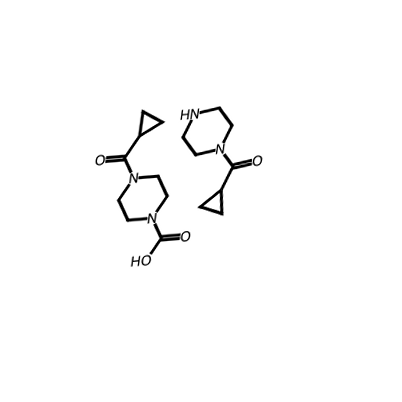 O=C(C1CC1)N1CCNCC1.O=C(O)N1CCN(C(=O)C2CC2)CC1